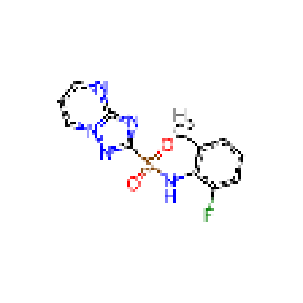 Cc1cccc(F)c1NS(=O)(=O)c1nc2ncccn2n1